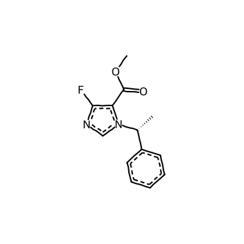 COC(=O)c1c(F)ncn1[C@H](C)c1ccccc1